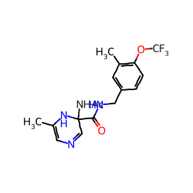 CC(=O)NC1(C(=O)NCc2ccc(OC(F)(F)F)c(C)c2)C=NC=C(C)N1